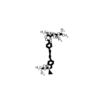 COC(=O)C(NC(=O)c1ccc(C#CC#Cc2ccc(CN(C(=O)OC(C)(C)C)C3CC3)cc2)cc1)C(C)(C)NC(=O)OC(C)(C)C